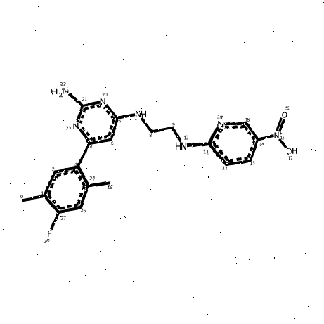 Cc1cc(-c2cc(NCCNc3ccc([N+](=O)O)cn3)nc(N)n2)c(C)cc1F